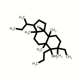 CCCC1(N)C(C)(CC)CCC2(C)C1(C)CCC1(C)C(C(C)CC)CCC12N